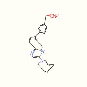 OCc1ccc(-c2ccc3ncc(N4CCCCC4)nc3c2)cc1